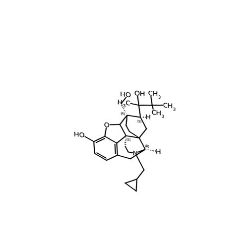 CC(C)(C)C(C)(O)[C@H]1CC23CC[C@@]1(CO)C1Oc4c(O)ccc5c4[C@@]12CCN(CC1CC1)[C@@H]3C5